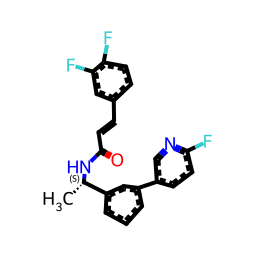 C[C@H](NC(=O)C=Cc1ccc(F)c(F)c1)c1cccc(-c2ccc(F)nc2)c1